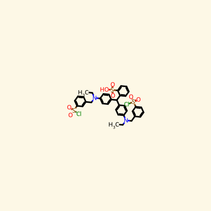 CCN(Cc1cccc(S(=O)(=O)Cl)c1)c1ccc(C(c2ccc(N(CC)Cc3cccc(S(=O)(=O)Cl)c3)cc2)c2ccccc2S(=O)(=O)O)cc1